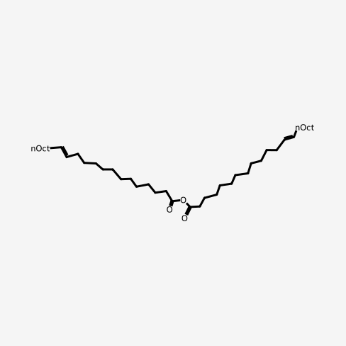 CCCCCCCCC=CCCCCCCCCCCCC(=O)OC(=O)CCCCCCCCCCCC=CCCCCCCCC